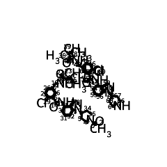 CC(=O)N1CCC(n2ncc3c(NC(=O)c4cc(CNC(=O)C(C)(C)C)ccc4Cl)cccc32)CC1.CC(C)(C)C(=O)NCc1ccc(Cl)c(C(=O)Nc2cccc3c2cnn3C2CCNCC2)c1.Cl